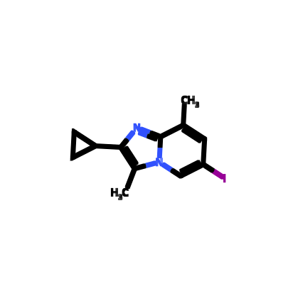 Cc1cc(I)cn2c(C)c(C3CC3)nc12